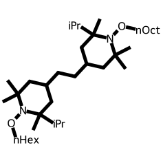 CCCCCCCCON1C(C)(C)CC(CCC2CC(C)(C)N(OCCCCCC)C(C)(C(C)C)C2)CC1(C)C(C)C